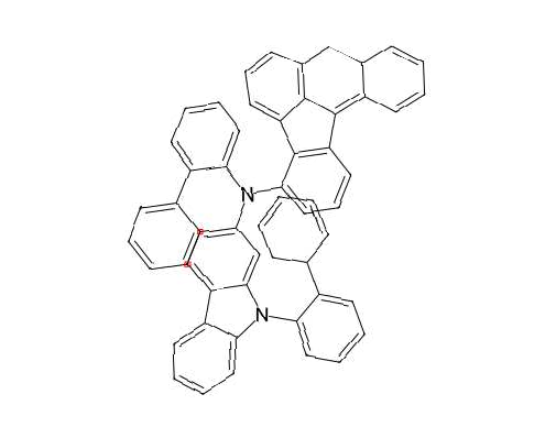 C1=CCC(c2ccccc2-n2c3ccccc3c3ccc(N(c4ccccc4-c4ccccc4)c4cccc5c4-c4cccc6c4C5=C4C=CC=CC4C6)cc32)C=C1